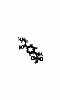 CS(=O)(=O)Nc1ccc([C@H](O)CN)cc1